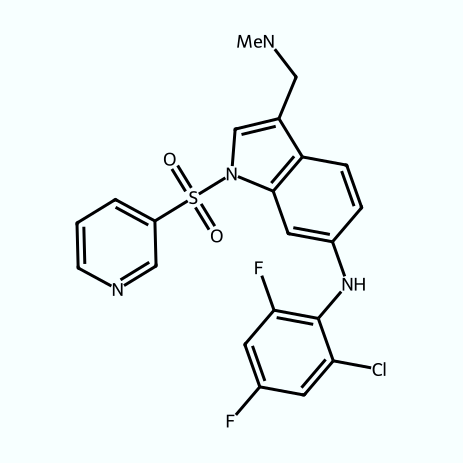 CNCc1cn(S(=O)(=O)c2cccnc2)c2cc(Nc3c(F)cc(F)cc3Cl)ccc12